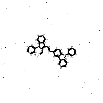 C=Cc1c(/C=C/c2ccc3c(c2)c2ccccc2n3-c2ccccc2)c2ccccc2n1-c1ccccc1